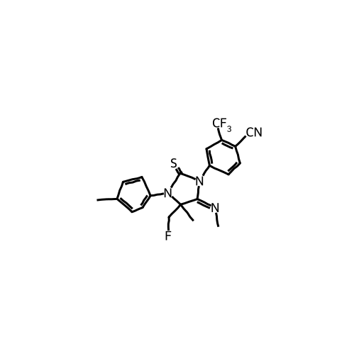 C/N=C1/N(c2ccc(C#N)c(C(F)(F)F)c2)C(=S)N(c2ccc(C)cc2)C1(C)CF